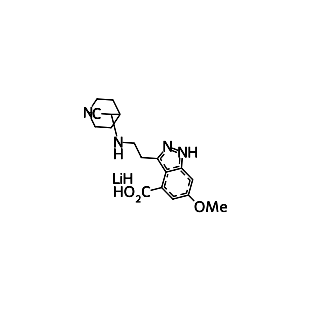 COc1cc(C(=O)O)c2c(CCNC3CN4CCC3CC4)n[nH]c2c1.[LiH]